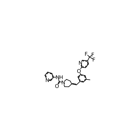 Cc1cc(C=C2CCN(C(=O)Nc3cccnc3)CC2)cc(Oc2ccc(C(F)(F)F)cn2)c1